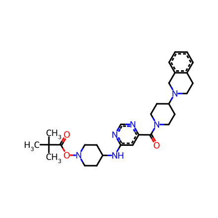 CC(C)(C)C(=O)ON1CCC(Nc2cc(C(=O)N3CCC(N4CCc5ccccc5C4)CC3)ncn2)CC1